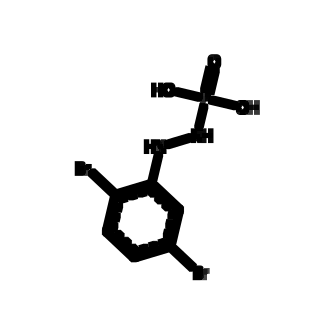 O=P(O)(O)NNc1cc(Br)ccc1Br